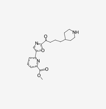 COC(=O)c1cccc(-c2cnc(C(=O)CCCC3CCNCC3)o2)n1